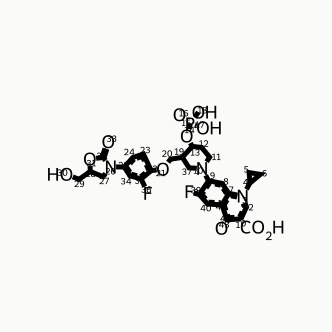 O=C(O)c1cn(C2CC2)c2cc(N3CCC(OP(=O)(O)O)C(COc4ccc(N5CC(CO)OC5=O)cc4F)C3)c(F)cc2c1=O